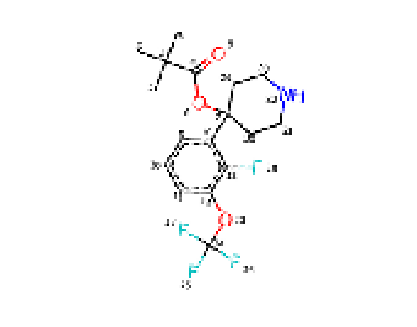 CC(C)(C)C(=O)OC1(c2cccc(OC(F)(F)F)c2F)CCNCC1